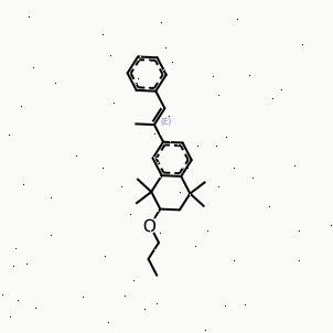 CCCOC1CC(C)(C)c2ccc(/C(C)=C/c3ccccc3)cc2C1(C)C